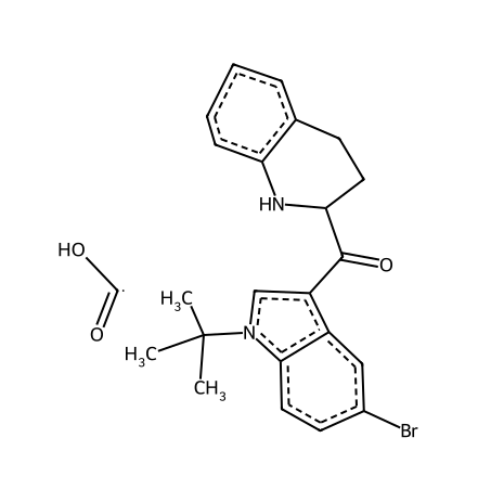 CC(C)(C)n1cc(C(=O)C2CCc3ccccc3N2)c2cc(Br)ccc21.O=[C]O